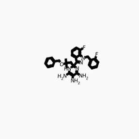 CC(C)(CC1(c2nn(Cc3ccccc3F)c3c(F)cccc23)N=C(N)C(N)=C(N)N1)OCc1ccccc1